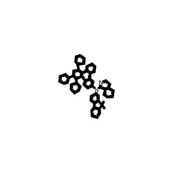 CC1(C)c2ccccc2-c2ccc(N(c3ccc4c(c3)c3ccccc3c3c(-c5ccccc5)cc(-c5ccccc5)c(-c5ccccc5)c43)c3nccc4ccccc34)cc21